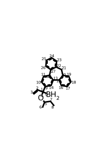 BC(C=C)(OC(C)CC)c1ccc2c(c1)-c1ccccc1Cc1ccccc1-2